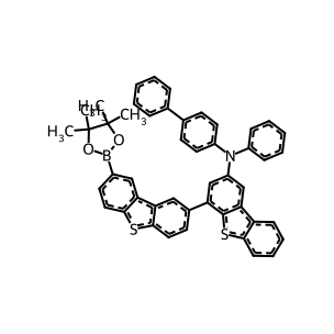 CC1(C)OB(c2ccc3sc4ccc(-c5cc(N(c6ccccc6)c6ccc(-c7ccccc7)cc6)cc6c5sc5ccccc56)cc4c3c2)OC1(C)C